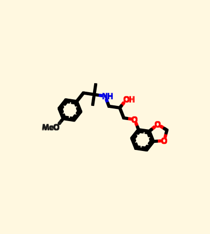 COc1ccc(CC(C)(C)NCC(O)COc2cccc3c2OCO3)cc1